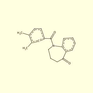 Cc1ccc(C(=O)N2CCCC(=O)c3ccccc32)cc1C